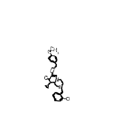 COc1ccc(COc2cn3c(c(C4CC4)c2=O)CN(Cc2ccccc2Cl)CC3)cc1